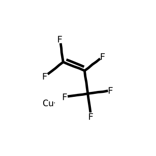 FC(F)=C(F)C(F)(F)F.[Cu]